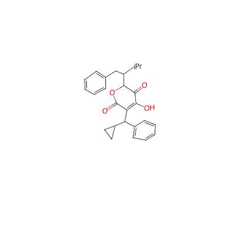 CC(C)C(Cc1ccccc1)C1OC(=O)C(C(c2ccccc2)C2CC2)=C(O)C1=O